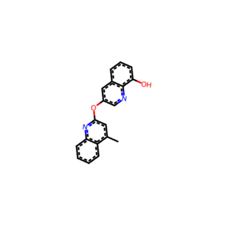 Cc1cc(Oc2cnc3c(O)cccc3c2)nc2ccccc12